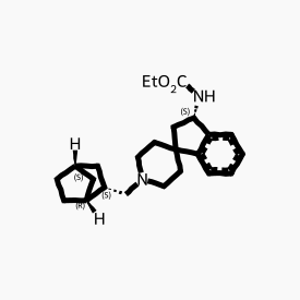 CCOC(=O)N[C@H]1CC2(CCN(C[C@H]3C[C@H]4CC[C@@H]3C4)CC2)c2ccccc21